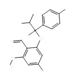 CCC(Nc1cc(F)cc(NSC)c1C=N)(c1ccc(C(F)(F)F)cc1)C(C)O